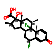 C[C@@H]1CC2C3C[C@H](F)C4=CC(=O)C=C[C@]4(C)[C@@]3(F)[C@@H](C)C[C@]2(C)[C@@]1(O)C(=O)O